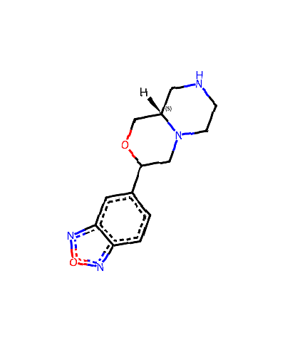 c1cc2nonc2cc1C1CN2CCNC[C@H]2CO1